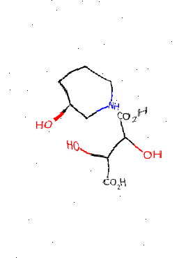 O=C(O)C(O)C(O)C(=O)O.O[C@H]1CCCNC1